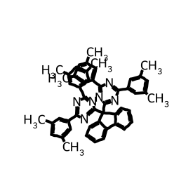 Cc1cc(C)cc(-c2nc(-c3cc(C)cc(C)c3)nc(C3(c4nc(-c5cc(C)cc(C)c5)nc(-c5cc(C)cc(C)c5)n4)c4ccccc4-c4ccccc43)n2)c1